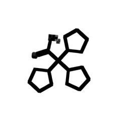 NC(=O)C(C1CCCC1)(C1CCCC1)C1CCCC1